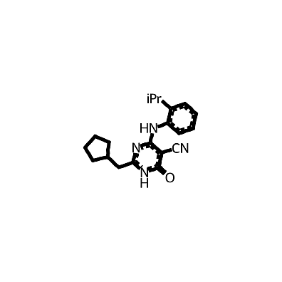 CC(C)c1ccccc1Nc1nc(CC2CCCC2)[nH]c(=O)c1C#N